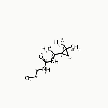 CC(NC(=O)NCCCl)C1CC1(C)C